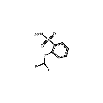 CNS(=O)(=O)c1ccccc1OC(F)F